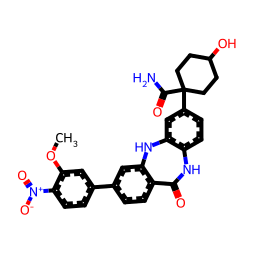 COc1cc(-c2ccc3c(c2)Nc2cc(C4(C(N)=O)CCC(O)CC4)ccc2NC3=O)ccc1[N+](=O)[O-]